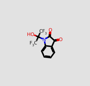 O=C1C(=O)N(C(O)(C(F)(F)F)C(F)(F)F)c2ccccc21